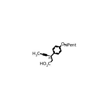 CC#C[C@H](CC(=O)O)c1ccc(O[C@H](C)CCC)cc1